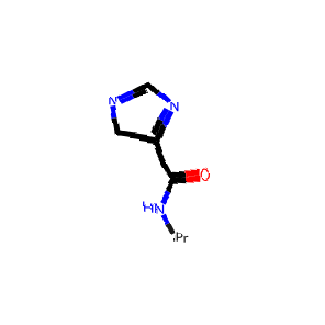 CC(C)NC(=O)C1=NC=NC1